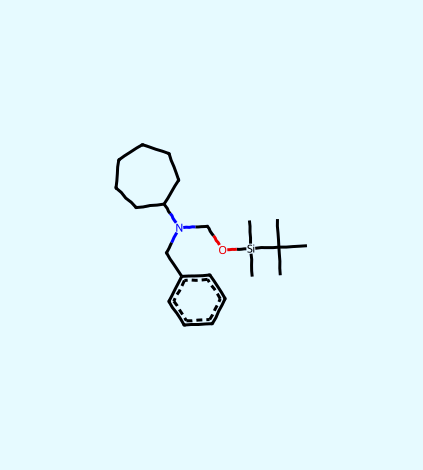 CC(C)(C)[Si](C)(C)OCN(Cc1ccccc1)C1CCCCCC1